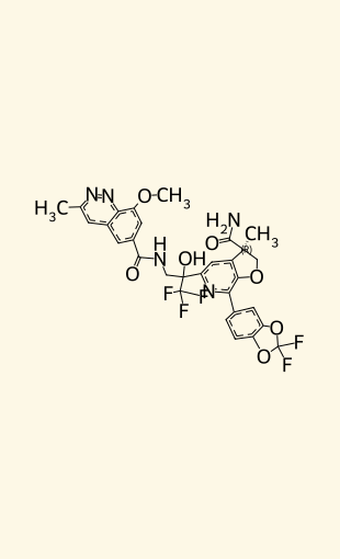 COc1cc(C(=O)NCC(O)(c2cc3c(c(-c4ccc5c(c4)OC(F)(F)O5)n2)OC[C@]3(C)C(N)=O)C(F)(F)F)cc2cc(C)nnc12